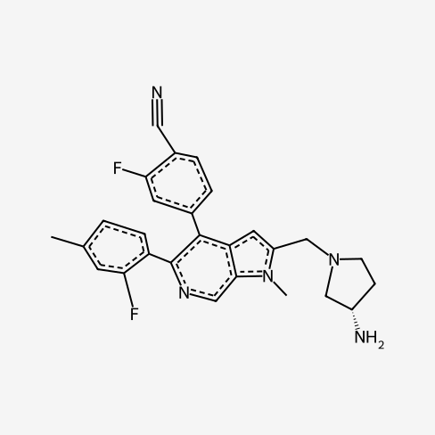 Cc1ccc(-c2ncc3c(cc(CN4CC[C@H](N)C4)n3C)c2-c2ccc(C#N)c(F)c2)c(F)c1